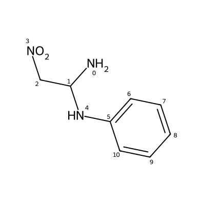 NC(C[N+](=O)[O-])Nc1ccccc1